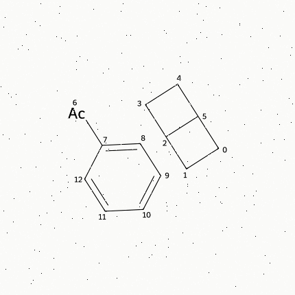 C1CC2CCC12.CC(=O)c1ccccc1